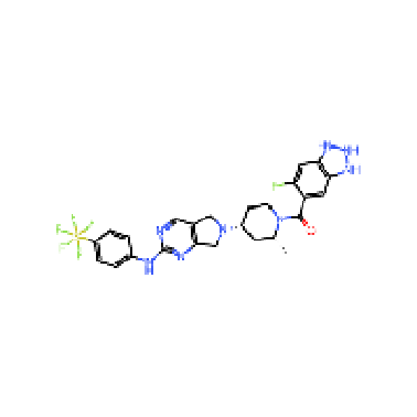 C[C@@H]1C[C@H](N2Cc3cnc(Nc4ccc(S(F)(F)(F)(F)F)cc4)nc3C2)CCN1C(=O)c1cc2c(cc1F)NNN2